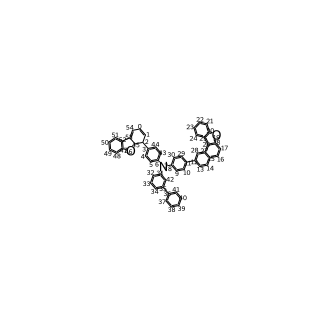 C1=CC(c2ccc(N(c3ccc(-c4ccc5ccc6oc7ccccc7c6c5c4)cc3)c3cccc(-c4ccccc4)c3)cc2)C2Oc3ccccc3C2=C1